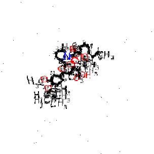 C=CC[C@@H]1CC[C@@H](C)C(O[Si](C)(C)C(C)(C)C)(C(=O)C(=O)N2CCCC[C@H]2C(=O)O[C@@H](CC(=O)O)[C@H](C)CC2CC[C@@H](O[Si](C)(C)C(C)(C)C)[C@H](OC)C2)O1